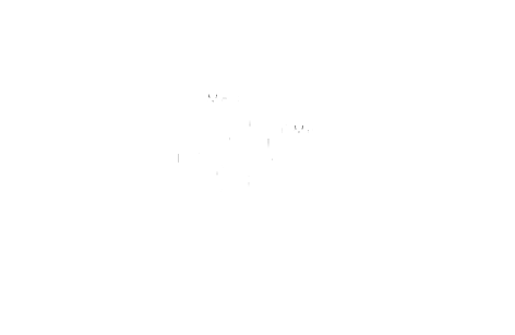 CO/C=C(\Oc1cc(C2CCC(C(F)(F)F)CC2)ccc1C)C(=O)OC